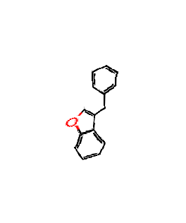 [c]1oc2ccccc2c1Cc1ccccc1